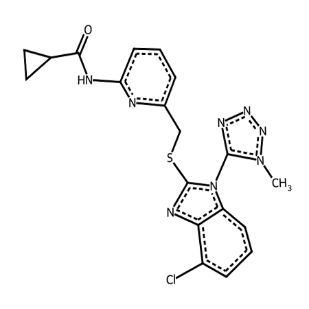 Cn1nnnc1-n1c(SCc2cccc(NC(=O)C3CC3)n2)nc2c(Cl)cccc21